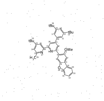 COc1cc2c(cc1-c1cc(-c3cc(C(C)(C)C)cc(C(C)(C)C)c3)cc(-c3cc(C(C)(C)C)cc(C)n3)n1)oc1ccccc12